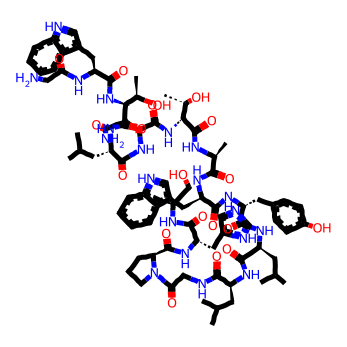 CC(C)C[C@H](NC(=O)[C@H](CC(C)C)NC(=O)[C@@H](Cc1ccc(O)cc1)NC(=O)[C@@H](Cc1c[nH]c2ccccc12)NC(=O)[C@H](C)NC(=O)[C@H](NC(=O)[C@H](CC(N)=O)NC(=O)[C@H](CC(C)C)NC(=O)[C@@H](NC(=O)[C@H](Cc1c[nH]c2ccccc12)NC(=O)CN)[C@@H](C)O)[C@H](C)O)C(=O)NCC(=O)N1CCC[C@H]1C(=O)N[C@@H](Cc1cnc[nH]1)C(=O)N[C@@H](C)CO